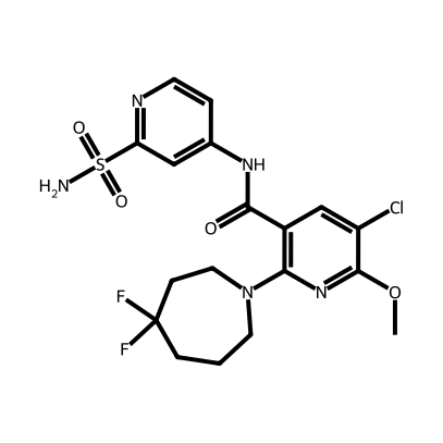 COc1nc(N2CCCC(F)(F)CC2)c(C(=O)Nc2ccnc(S(N)(=O)=O)c2)cc1Cl